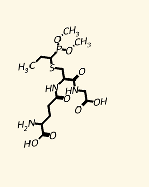 CCC(SCC(NC(=O)CCC(N)C(=O)O)C(=O)NCC(=O)O)P(OC)OC